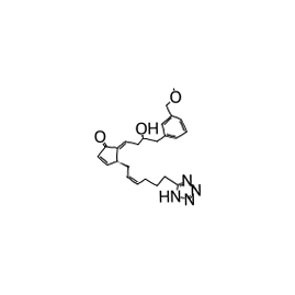 COCc1cccc(C[C@H](O)C/C=C2/C(=O)C=C[C@@H]2C/C=C\CCCc2nnn[nH]2)c1